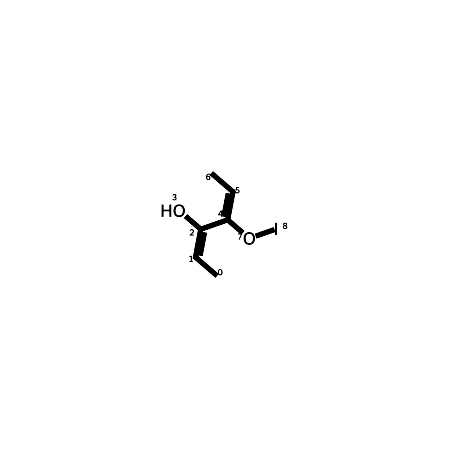 C/C=C(O)\C(=C/C)OI